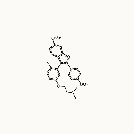 COc1ccc(-c2oc3cc(OC)ccc3c2-c2cc(OCCN(C)C)ccc2C)cc1